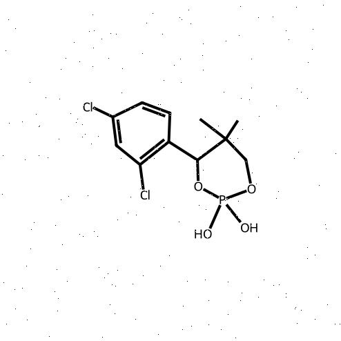 CC1(C)CO[P](O)(O)OC1c1ccc(Cl)cc1Cl